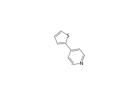 [c]1cc(-c2cccs2)ccn1